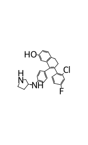 Oc1ccc2c(c1)C(c1ccc(N[C@H]3CCNC3)cc1)=C(c1ccc(F)cc1Cl)CC2